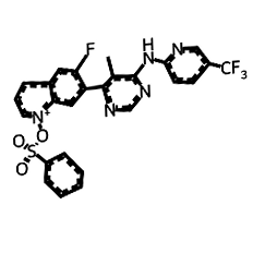 Cc1c(Nc2ccc(C(F)(F)F)cn2)ncnc1-c1cc2c(ccc[n+]2OS(=O)(=O)c2ccccc2)cc1F